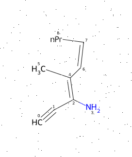 C#C/C(N)=C(C)/C=C\CCC